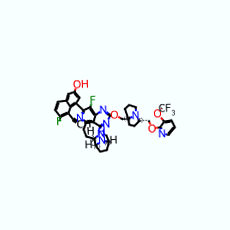 C#Cc1c(F)ccc2cc(O)cc(-c3nc4c5c(nc(OC[C@@]67CCCN6[C@H](COc6ncccc6OC(F)(F)F)CC7)nc5c3F)N3C[C@H]5CC[C@H](N5)[C@H]3CC4)c12